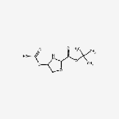 CC(C)(C)OC(=O)C1NC(OC(=O)O)CO1